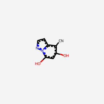 N#Cc1c(O)cc(O)n2nccc12